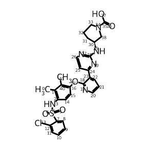 Cc1c(NS(=O)(=O)c2ccccc2Cl)ccc(Oc2ncccc2-c2ccnc(N[C@H]3CCCN(C(=O)O)C3)n2)c1C